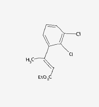 CCOC(=O)C=C(C)c1cccc(Cl)c1Cl